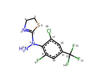 NN(C1=NCCS1)c1c(F)cc(C(F)(F)F)cc1Cl